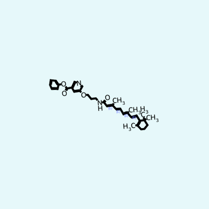 CC1=C(/C=C/C(C)=C/C=C/C(C)=C/C(=O)NCCCOc2cncc(C(=O)Oc3ccccc3)c2)C(C)(C)CCC1